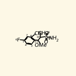 COC(c1ccc(F)cc1C#N)C(C)S(N)(=O)=O